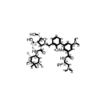 COc1c(CN2O[C@@H](CO)[C@@H]([C@H](C)O)[C@H]2C(=O)N[C@H]2C[C@@H](C)C(C)(C)[C@@H](C)[C@@H]2C)cccc1-c1cc(C(=O)N[C@H](CN(C)C)C(C)C)cc(N(C)C)c1